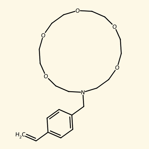 C=Cc1ccc(CN2CCOCCOCCOCCOCCOCC2)cc1